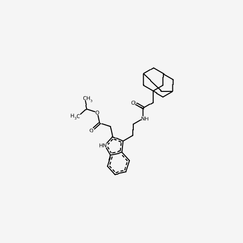 CC(C)OC(=O)Cc1[nH]c2ccccc2c1CCNC(=O)CC12CC3CC(CC(C3)C1)C2